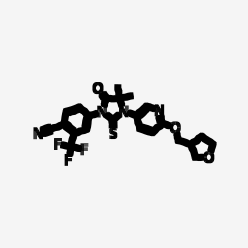 CC1(C)C(=O)N(c2ccc(C#N)c(C(F)(F)F)c2)C(=S)N1c1ccc(OCC2CCOC2)nc1